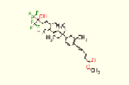 CCC(CC)(c1ccc(C#CCCC(=O)OC)c(C)c1)c1ccc(/C=C/C(O)(C(F)(F)F)C(F)(F)F)c(C)c1